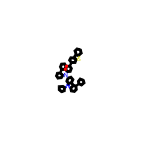 c1ccc(-c2ccccc2N(c2ccc(-c3ccc4c(c3)sc3ccccc34)cc2)c2ccc3c4c(-c5ccccc5)cccc4n(-c4ccccc4)c3c2)cc1